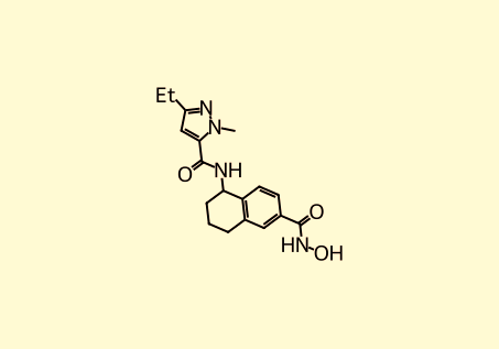 CCc1cc(C(=O)NC2CCCc3cc(C(=O)NO)ccc32)n(C)n1